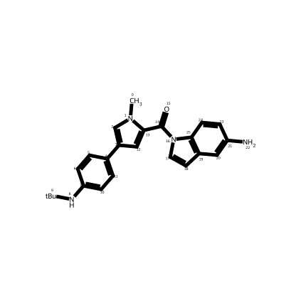 Cn1cc(-c2ccc(NC(C)(C)C)cc2)cc1C(=O)n1ccc2cc(N)ccc21